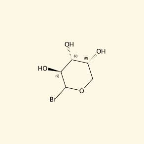 O[C@@H]1[C@H](O)COC(Br)[C@H]1O